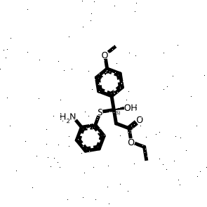 CCOC(=O)C[C@](O)(Sc1ccccc1N)c1ccc(OC)cc1